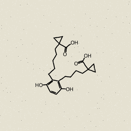 O=C(O)C1(CCCCCc2c(O)ccc(O)c2CCCCC2(C(=O)O)CC2)CC1